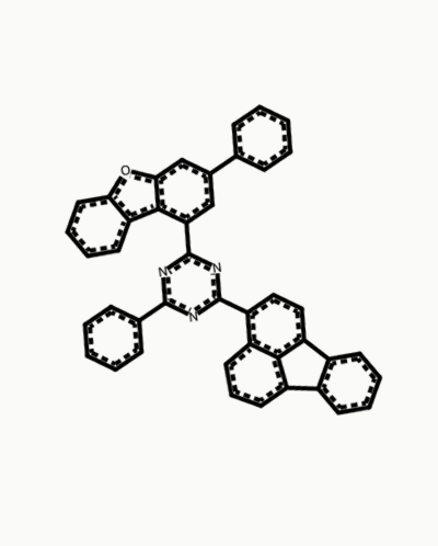 c1ccc(-c2cc(-c3nc(-c4ccccc4)nc(-c4ccc5c6c(cccc46)-c4ccccc4-5)n3)c3c(c2)oc2ccccc23)cc1